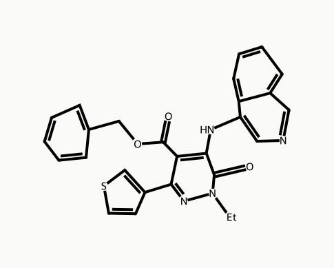 CCn1nc(-c2ccsc2)c(C(=O)OCc2ccccc2)c(Nc2cncc3ccccc23)c1=O